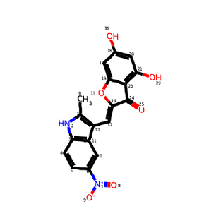 Cc1[nH]c2ccc([N+](=O)[O-])cc2c1C=C1Oc2cc(O)cc(O)c2C1=O